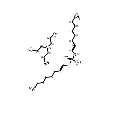 CCCCCCC=COP(=O)(O)OC=CCCCCCC.OCCN(CCO)CCO